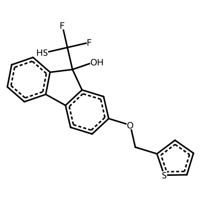 OC1(C(F)(F)S)c2ccccc2-c2ccc(OCc3cccs3)cc21